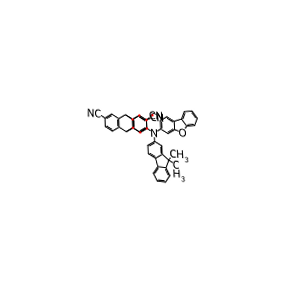 CC1(C)c2ccccc2-c2ccc(N(c3ccc4c(c3)oc3ccccc34)c3cc4c(cc3C#N)C3c5cc(C#N)ccc5C4c4ccc(C#N)cc43)cc21